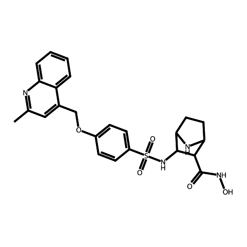 Cc1cc(COc2ccc(S(=O)(=O)NC3C4CCC(N4)C3C(=O)NO)cc2)c2ccccc2n1